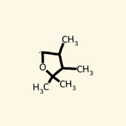 CC1[CH]OC(C)(C)C1C